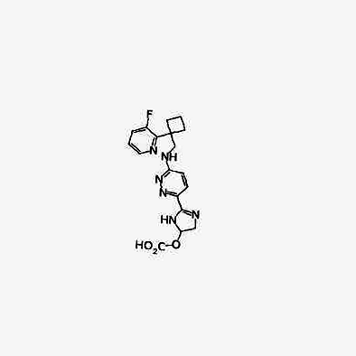 O=C(O)OC1CN=C(c2ccc(NCC3(c4ncccc4F)CCC3)nn2)N1